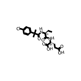 CC[C@H](NC(=O)C(C)(C)c1ccc(Cl)cc1)C(=O)N[C@H](CCC(=O)O)C(=O)O